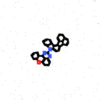 C1=CC2=CC=CC3c4ccc5c(c4C(=C1)C23)c1ccccc1n5-c1nc2c3c(cccc3n1)Oc1ccccc1-2